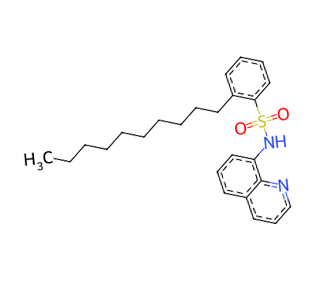 CCCCCCCCCCc1ccccc1S(=O)(=O)Nc1cccc2cccnc12